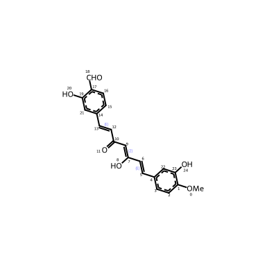 COc1ccc(/C=C/C(O)=C/C(=O)/C=C/c2ccc(C=O)c(O)c2)cc1O